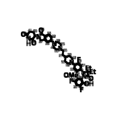 CCC1(CC)C(=O)N(c2cc(F)cc(F)c2O)[C@H]1c1cc(F)c(N2CCC(CCN3CCN(c4ccc5c(c4)CN([C@H]4CCC(=O)NC4=O)C5=O)CC3)CC2)cc1OC